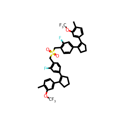 Cc1ccc(C2=C(c3ccc(CS(=O)(=O)Cc4ccc(C5=C(c6ccc(C)c(OC(F)(F)F)c6)CCC5)cc4F)c(F)c3)CCC2)cc1OC(F)(F)F